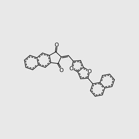 O=C1C(=Cc2cc3oc(-c4cccc5ccccc45)cc3o2)C(=O)c2cc3ccccc3cc21